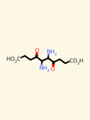 NC(C(=O)CCC(=O)O)C(N)C(=O)CCC(=O)O